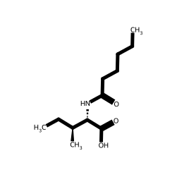 CCCCCC(=O)N[C@H](C(=O)O)[C@@H](C)CC